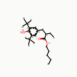 CCCCCOC(=O)C(CC)Cc1cc(C(C)(C)C)c(O)c(C(C)(C)C)c1